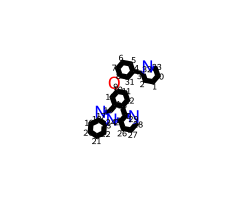 c1ccc(-c2cccc(Oc3ccc4c(c3)c3nc5ccccc5n3c3cccnc43)c2)nc1